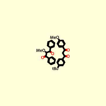 COC(C(=O)c1ccccc1)C(=O)c1ccccc1.COc1ccc(C(=O)CC(=O)c2ccc(C(C)(C)C)cc2)cc1